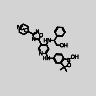 CC1(C)OB(O)c2ccc(Nc3cc(NC(CO)c4ccccc4)c(-c4nc(C56CCN(CC5)CC6)no4)cn3)cc21